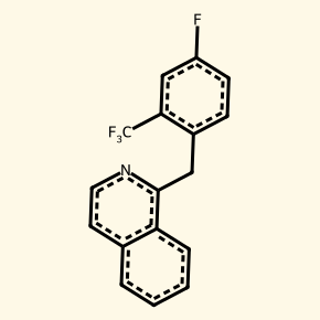 Fc1ccc(Cc2nccc3ccccc23)c(C(F)(F)F)c1